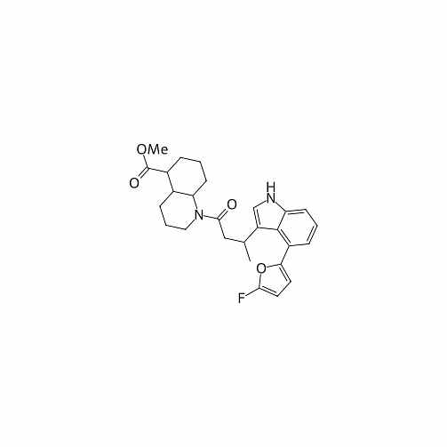 COC(=O)C1CCCC2C1CCCN2C(=O)CC(C)c1c[nH]c2cccc(-c3ccc(F)o3)c12